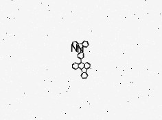 c1ccc2c(c1)-c1cccc3c(-c4ccc(-n5c6ccccc6c6cccnc65)cc4)c4ccccc4c-2c13